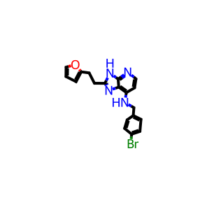 Brc1ccc(CNc2ccnc3[nH]c(CCc4ccco4)nc23)cc1